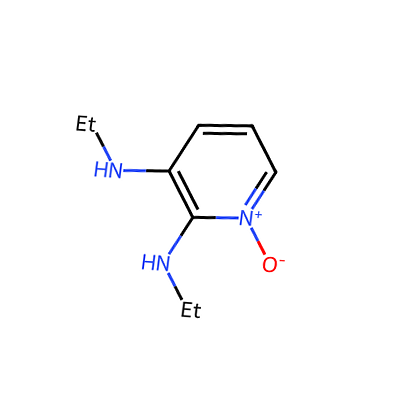 CCNc1ccc[n+]([O-])c1NCC